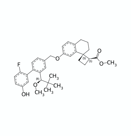 COC(=O)[C@H]1CC[C@@]12CCCc1ccc(OCc3ccc(-c4cc(O)ccc4F)c([C@H](OC)C(C)(C)C)c3)cc12